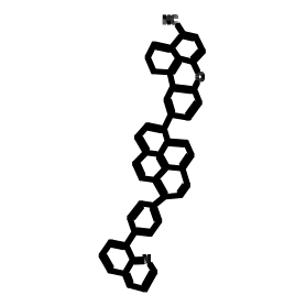 N#Cc1ccc2c3c1=CCCC=3c1cc(-c3ccc4ccc5c(-c6ccc(-c7cccc8cccnc78)cc6)ccc6ccc3c4c65)ccc1O2